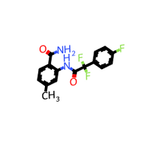 Cc1ccc(C(N)=O)c(NC(=O)C(F)(F)c2ccc(F)cc2)c1